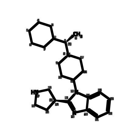 C[C@@H](C1CCCCC1)N1CCC(n2c([C@H]3CCNC3)nc3ccccc32)CC1